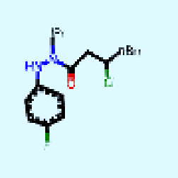 CCCCC(Cl)CC(=O)N(Nc1ccc(F)cc1)C(C)C